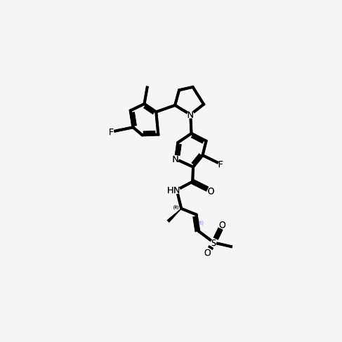 Cc1cc(F)ccc1C1CCCN1c1cnc(C(=O)N[C@H](C)/C=C/S(C)(=O)=O)c(F)c1